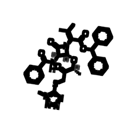 CC(C)=C(C(=O)OC(c1ccccc1)c1ccccc1)N1C(=O)[C@H](NC(=O)c2ccccc2)[C@H]1O[C@H](C)C(=O)CSc1nnnn1C